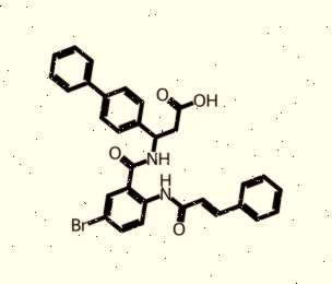 O=C(O)CC(NC(=O)c1cc(Br)ccc1NC(=O)C=Cc1ccccc1)c1ccc(-c2ccccc2)cc1